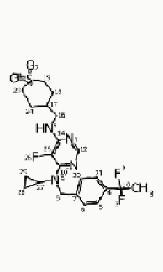 CC(F)(F)c1ccc(CN(c2ncnc(NCC3CCS(=O)(=O)CC3)c2F)C2CC2)cc1